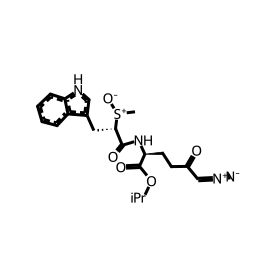 CC(C)OC(=O)[C@H](CCC(=O)C=[N+]=[N-])NC(=O)[C@H](Cc1c[nH]c2ccccc12)[S+](C)[O-]